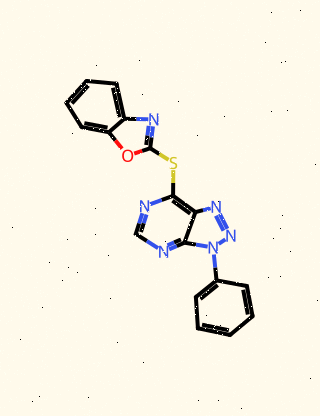 c1ccc(-n2nnc3c(Sc4nc5ccccc5o4)ncnc32)cc1